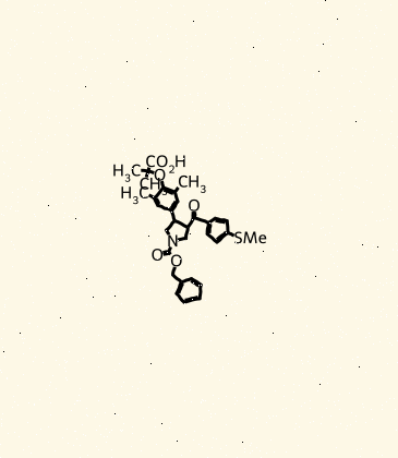 CSc1ccc(C(=O)C2CN(C(=O)OCc3ccccc3)CC2c2cc(C)c(OC(C)(C)C(=O)O)c(C)c2)cc1